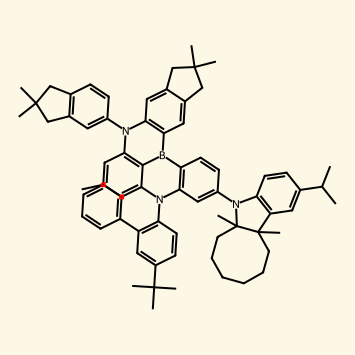 Cc1cc2c3c(c1)N(c1ccc(C(C)(C)C)cc1-c1ccccc1)c1cc(N4c5ccc(C(C)C)cc5C5(C)CCCCCCC45C)ccc1B3c1cc3c(cc1N2c1ccc2c(c1)CC(C)(C)C2)CC(C)(C)C3